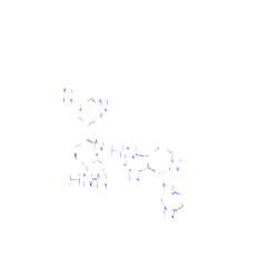 Cc1cn(-c2nccc3[nH]c(-c4n[nH]c5ccc(-c6cncc(N(C)C)c6)nc45)nc23)cn1